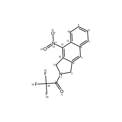 O=C(N1Cc2cc3ccccc3c([N+](=O)[O-])c2C1)C(F)(F)F